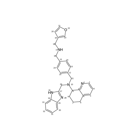 c1cnc2c(c1)CCCC2N(Cc1ccc(CNCc2ccoc2)cc1)Cc1nc2ccccc2[nH]1